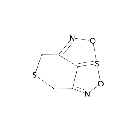 C1SCC2=NOS3=C2C1=NO3